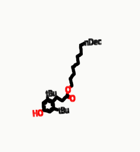 CCCCCCCCCCCCCCCCCCOC(=O)CCc1c(C(C)(C)C)cc(O)cc1C(C)(C)C